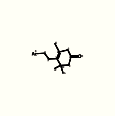 CC(=O)CCC1=C(C)CC(=O)CC1(C)C